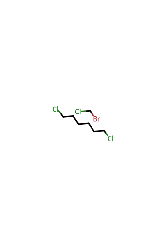 ClCBr.ClCCCCCCCl